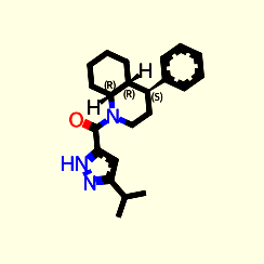 CC(C)c1cc(C(=O)N2CC[C@H](c3ccccc3)[C@H]3CCCC[C@H]32)[nH]n1